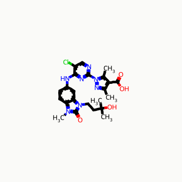 Cc1nn(-c2ncc(Cl)c(Nc3ccc4c(c3)n(CCC(C)(C)O)c(=O)n4C)n2)c(C)c1C(=O)O